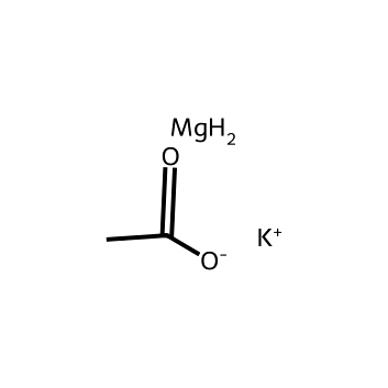 CC(=O)[O-].[K+].[MgH2]